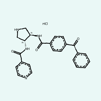 Cl.O=C(N[C@@H]1CNC[C@H]1NC(=O)c1ccc(C(=O)c2ccccc2)cc1)c1ccncc1